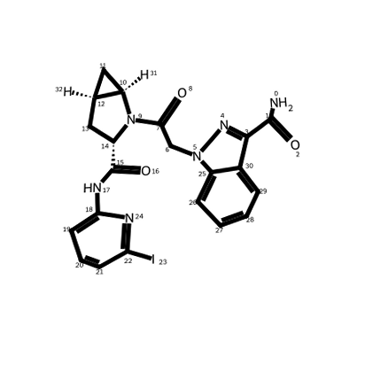 NC(=O)c1nn(CC(=O)N2[C@@H]3C[C@@H]3C[C@H]2C(=O)Nc2cccc(I)n2)c2ccccc12